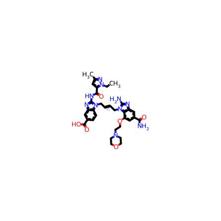 CCn1nc(C)cc1C(=O)Nc1nc2cc(C(=O)O)ccc2n1C/C=C/Cn1c(N)nc2cc(C(N)=O)cc(OCCN3CCOCC3)c21